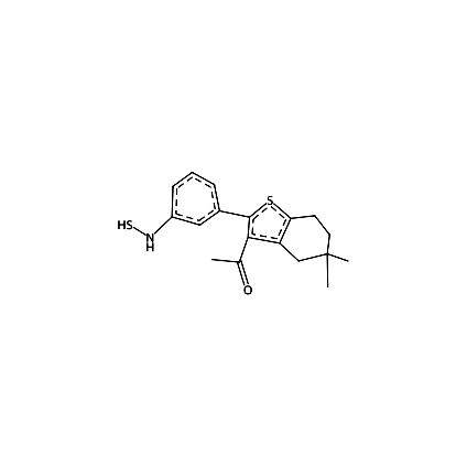 CC(=O)c1c(-c2cccc(NS)c2)sc2c1CC(C)(C)CC2